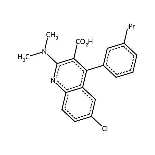 CC(C)c1cccc(-c2c(C(=O)O)c(N(C)C)nc3ccc(Cl)cc23)c1